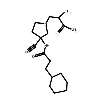 CC(CN1CCC(C#N)(NC(=O)[CH]CC2CCCCC2)C1)C(N)=O